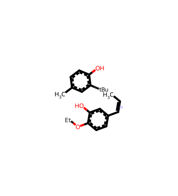 C/C=C\c1ccc(OCC)c(O)c1.Cc1ccc(O)c(C(C)(C)C)c1